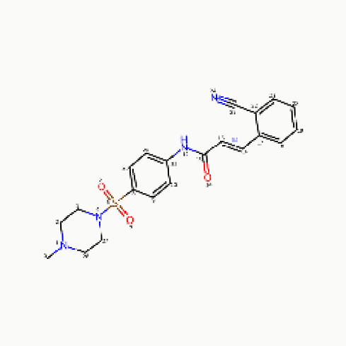 CN1CCN(S(=O)(=O)c2ccc(NC(=O)/C=C/c3ccccc3C#N)cc2)CC1